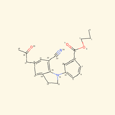 CCCOC(=O)c1cccc(N2CCc3cc(CC(C)=O)cc(C#N)c32)c1